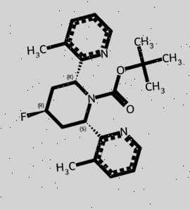 Cc1cccnc1[C@H]1C[C@H](F)C[C@@H](c2ncccc2C)N1C(=O)OC(C)(C)C